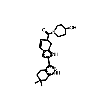 CC1(C)CCc2c(-c3cc4c([nH]3)CC(C(=O)N3CCC(O)CC3)C=C4)n[nH]c2C1